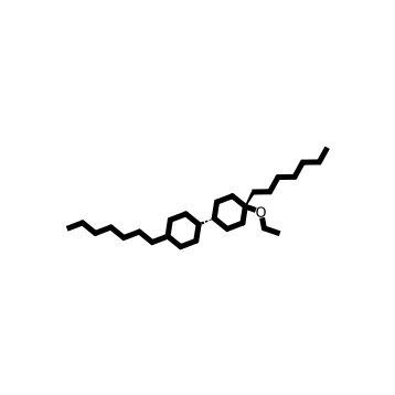 CCCCCCCC1CCC([C@H]2CC[C@@](CCCCCCC)(OCC)CC2)CC1